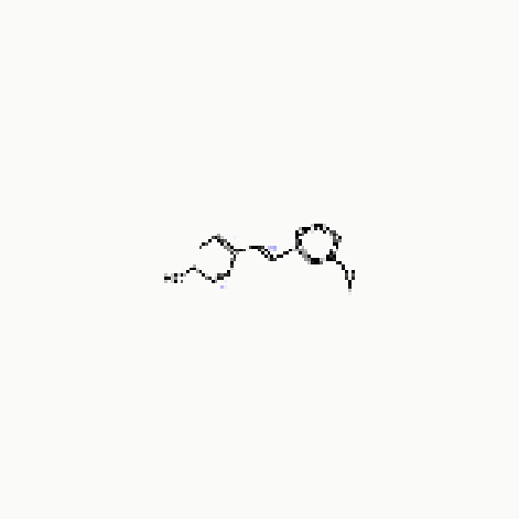 C/C=C(\C=C/CO)/C=C/c1cccc(OC)c1